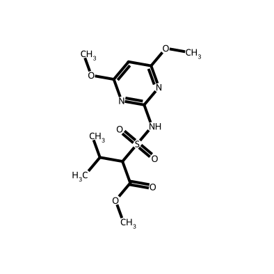 COC(=O)C(C(C)C)S(=O)(=O)Nc1nc(OC)cc(OC)n1